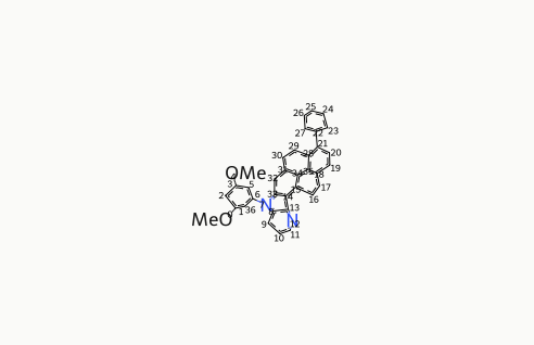 COc1cc(OC)cc(-n2c3cccnc3c3c4ccc5ccc(-c6ccccc6)c6ccc(cc32)c4c56)c1